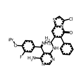 CC(C)Oc1ccc(C(=N)c2c(N)ncnc2N[C@@H](C)c2cc3scc(Cl)n3c(=O)c2-c2ccccc2)cc1F